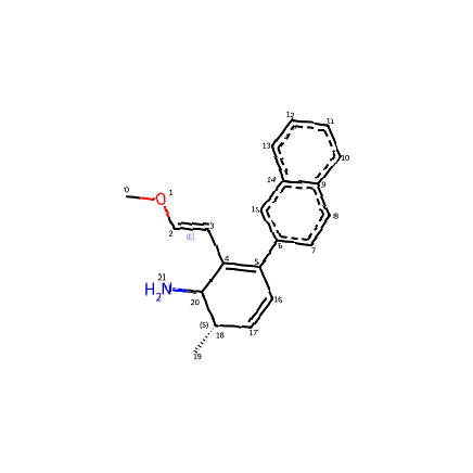 CO/C=C/C1=C(c2ccc3ccccc3c2)C=C[C@H](C)C1N